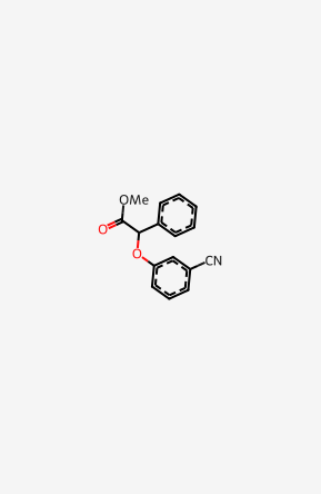 COC(=O)C(Oc1cccc(C#N)c1)c1ccccc1